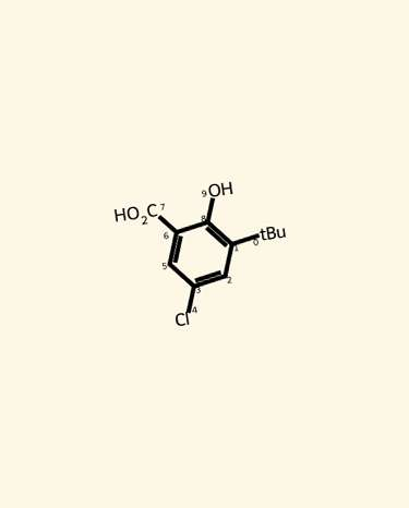 CC(C)(C)c1cc(Cl)cc(C(=O)O)c1O